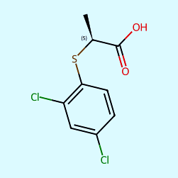 C[C@H](Sc1ccc(Cl)cc1Cl)C(=O)O